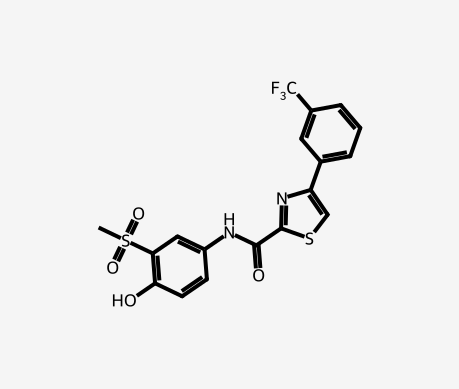 CS(=O)(=O)c1cc(NC(=O)c2nc(-c3cccc(C(F)(F)F)c3)cs2)ccc1O